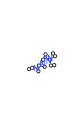 c1ccc2cc(-n3c4ccccc4c4c5c6ccccc6n(-c6ccc7c8ccccc8n(-c8nc(-c9cccc%10ccccc9%10)cc(-c9cccc%10ccccc9%10)n8)c7c6)c5ccc43)ccc2c1